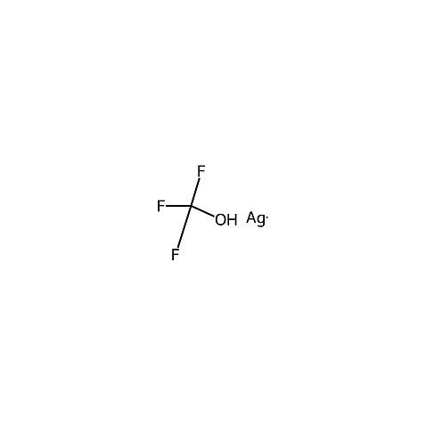 OC(F)(F)F.[Ag]